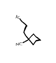 CC(=O)CCC1(C#N)CCC1